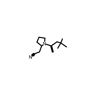 C=C(CC(C)(C)C)N1CCCC1CC#N